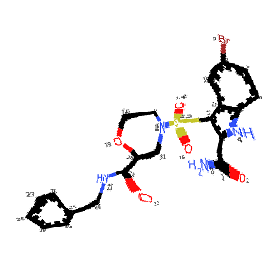 NC(=O)c1[nH]c2ccc(Br)cc2c1S(=O)(=O)N1CCOC(C(=O)NCc2ccccc2)C1